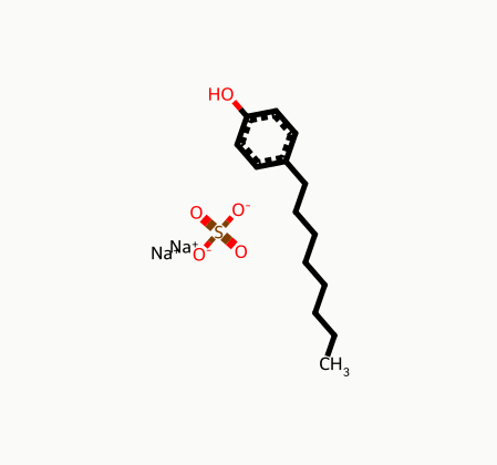 CCCCCCCCc1ccc(O)cc1.O=S(=O)([O-])[O-].[Na+].[Na+]